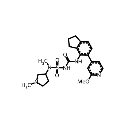 COc1cc(-c2ccc3c(c2NC(=O)NS(=O)(=O)N(C)C2CCN(C)C2)CCC3)ccn1